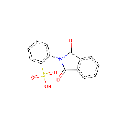 O=C1c2ccccc2C(=O)N1c1ccccc1S(=O)(=O)O